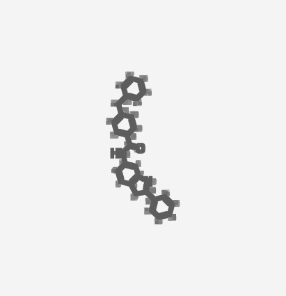 O=C(Nc1ccc2c(c1)N=C(c1ccccc1)C2)c1ccc(Cc2ccccc2)cc1